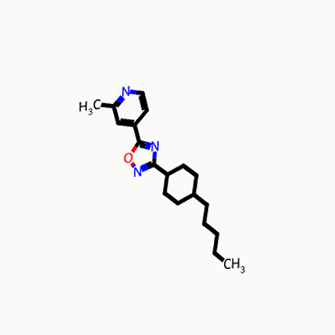 CCCCCC1CCC(c2noc(-c3ccnc(C)c3)n2)CC1